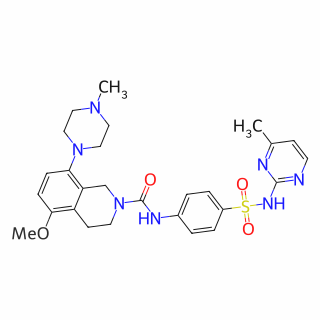 COc1ccc(N2CCN(C)CC2)c2c1CCN(C(=O)Nc1ccc(S(=O)(=O)Nc3nccc(C)n3)cc1)C2